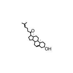 CC(C)=CCCC(=O)C1CCC2C3CC=C4C[C@@H](O)CC[C@]4(C)C3CC[C@]12C